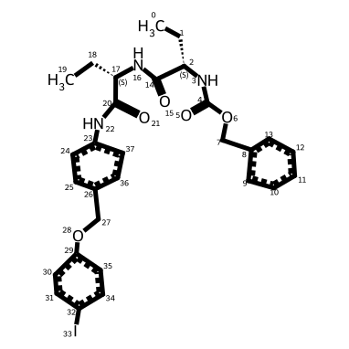 CC[C@H](NC(=O)OCc1ccccc1)C(=O)N[C@@H](CC)C(=O)Nc1ccc(COc2ccc(I)cc2)cc1